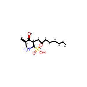 C=C(C)C(=O)C(CCCCCCCC)C(N)S(=O)(=O)O